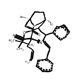 C=CCC(C#N)(C#N)C1=C[C@H]2CC[C@@H](C1C(/C=C/c1ccccc1)c1ccccc1)N2C(=O)OC(C)(C)C